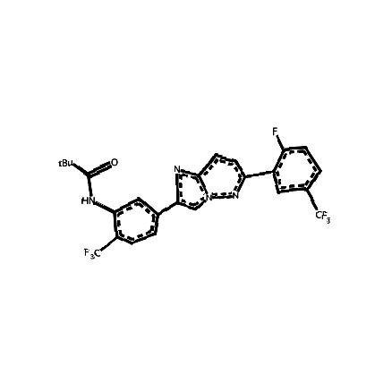 CC(C)(C)C(=O)Nc1cc(-c2cn3nc(-c4cc(C(F)(F)F)ccc4F)ccc3n2)ccc1C(F)(F)F